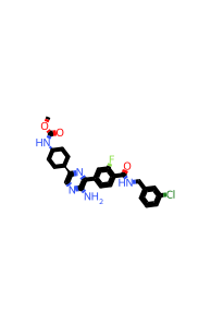 COC(=O)N[C@H]1CC[C@@H](c2cnc(N)c(-c3ccc(C(=O)NCc4cccc(Cl)c4)c(F)c3)n2)CC1